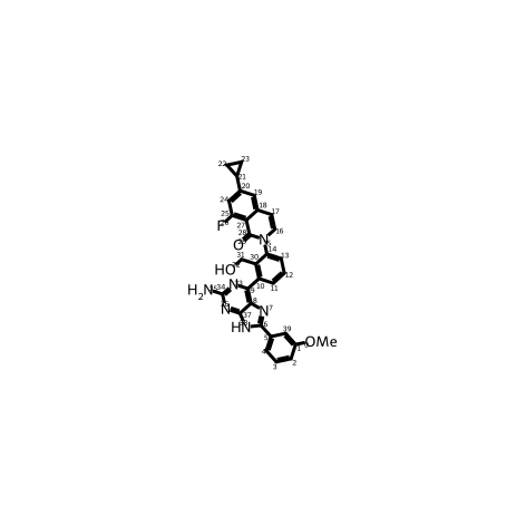 COc1cccc(-c2nc3c(-c4cccc(-n5ccc6cc(C7CC7)cc(F)c6c5=O)c4CO)nc(N)nc3[nH]2)c1